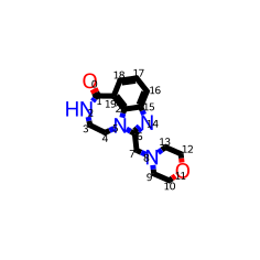 O=C1NCCn2c(CN3CCOCC3)nc3cccc1c32